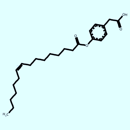 CCCCCC/C=C\CCCCCCCC(=O)Oc1ccc(CC(=O)O)cc1